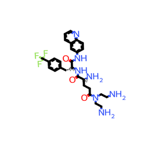 NCCN(CCN)C(=O)CC[C@H](N)C(=O)N[C@H](Cc1ccc(C(F)(F)F)cc1)C(=O)Nc1ccc2ncccc2c1